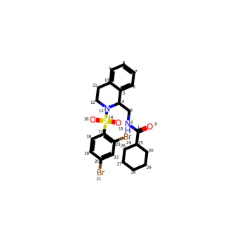 O=C(NCC1c2ccccc2CCN1S(=O)(=O)c1ccc(Br)cc1Br)C1CCCCC1